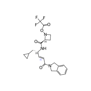 O=C(N[C@H](/C=C/C(=O)N1Cc2ccccc2C1)CC1CC1)[C@@H]1CCN1OC(=O)C(F)(F)F